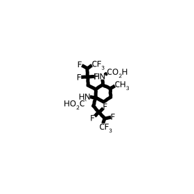 CC1CCC(CC(F)(F)C(F)C(F)(F)F)(NC(=O)O)C(CC(F)(F)C(F)C(F)(F)F)C1NC(=O)O